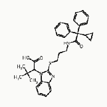 CC(C)(C)C(C(=O)O)n1c(SCCCNC(=O)C(c2ccccc2)(c2ccccc2)C2CC2)nc2ccccc21